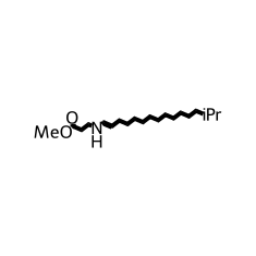 COC(=O)CCNC=CCCCCCCCCCCCC(C)C